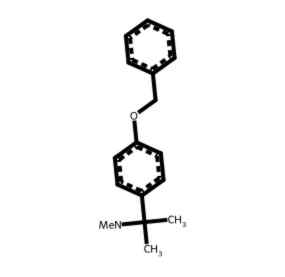 CNC(C)(C)c1ccc(OCc2ccccc2)cc1